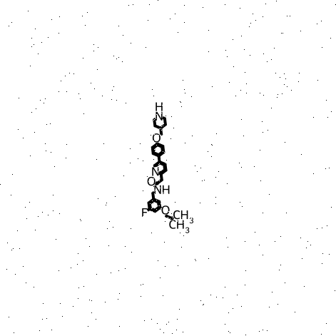 CC(C)COc1cc(F)cc(CNC(=O)Cc2ccc(-c3ccc(OCC4CCNCC4)cc3)cn2)c1